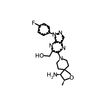 C[C@@H]1OCC2(CCN(c3nc4cnn(-c5ccc(F)cc5)c4nc3CO)CC2)[C@@H]1N